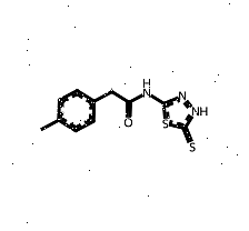 Cc1ccc([CH]C(=O)Nc2n[nH]c(=S)s2)cc1